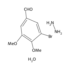 COc1cc(C=O)cc(Br)c1OC.NN.O